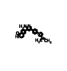 CCN(C)C1CCN(c2ccc(-c3cnc(N)c(-c4ccc5c(c4)CCNC5=O)c3)cc2)C1